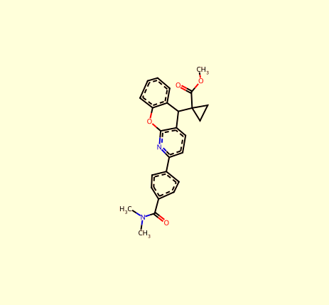 COC(=O)C1(C2c3ccccc3Oc3nc(-c4ccc(C(=O)N(C)C)cc4)ccc32)CC1